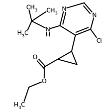 CCOC(=O)C1CC1c1c(Cl)ncnc1NC(C)(C)C